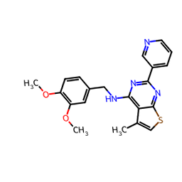 COc1ccc(CNc2nc(-c3cccnc3)nc3scc(C)c23)cc1OC